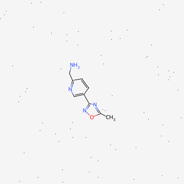 Cc1nc(-c2ccc(CN)nc2)no1